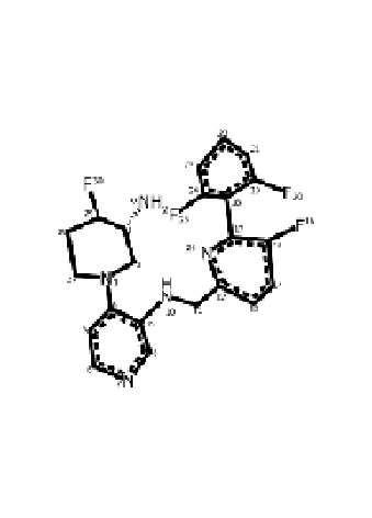 N[C@@H]1CN(c2ccncc2NCc2ccc(F)c(-c3c(F)cccc3F)n2)CC[C@H]1F